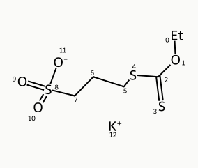 CCOC(=S)SCCCS(=O)(=O)[O-].[K+]